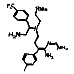 CNCCN(CC/C(=C(N)\N=C/N)c1ccc(C)cc1)C(CN)c1ccc(C(F)(F)F)cc1